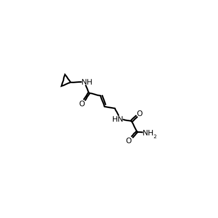 NC(=O)C(=O)NC/C=C/C(=O)NC1CC1